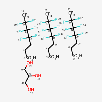 O=S(=O)(O)CCC(F)(F)C(F)(F)C(F)(F)C(F)(F)F.O=S(=O)(O)CCC(F)(F)C(F)(F)C(F)(F)C(F)(F)F.O=S(=O)(O)CCC(F)(F)C(F)(F)C(F)(F)C(F)(F)F.OCC(O)CO